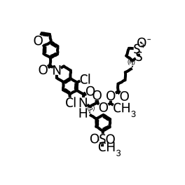 CC(OC(=O)CCCC[C@@H]1CC[S+]([O-])S1)OC(=O)[C@H](Cc1cccc(S(C)(=O)=O)c1)NC(=O)c1c(Cl)cc2c(c1Cl)CCN(C(=O)c1ccc3ccoc3c1)C2